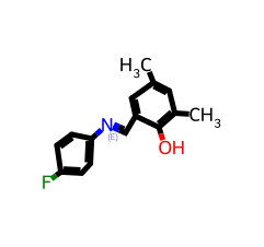 Cc1cc(C)c(O)c(/C=N/c2ccc(F)cc2)c1